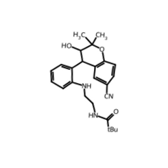 CC(C)(C)C(=O)NCCNc1ccccc1C1c2cc(C#N)ccc2OC(C)(C)C1O